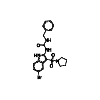 O=C(NCc1ccccc1)Nc1[nH]c2ccc(Br)cc2c1S(=O)(=O)N1CCCC1